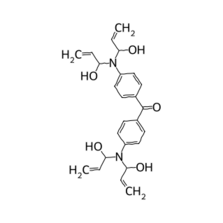 C=CC(O)N(c1ccc(C(=O)c2ccc(N(C(O)C=C)C(O)C=C)cc2)cc1)C(O)C=C